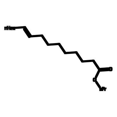 CCCCCCC=CCCCCCCCC(=O)OCCC